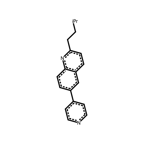 CC(C)CCc1ccc2cc(-c3ccncc3)ccc2n1